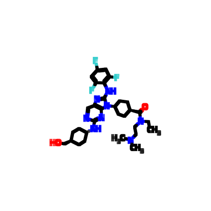 CCN(CCN(C)C)C(=O)[C@H]1CC[C@@H](n2c(Nc3c(F)cc(F)cc3F)nc3cnc(N[C@H]4CC[C@H](CO)CC4)nc32)CC1